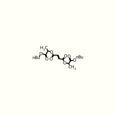 CCCCOC(=O)C(C)OC(=O)/C=C/C(=O)OC(C)C(=O)OCCCC